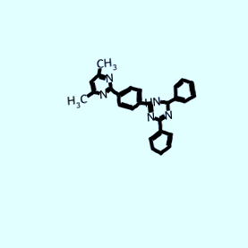 Cc1cc(C)nc(-c2ccc(C3=NC(C4=CCCC=C4)=NC(c4ccccc4)N3)cc2)n1